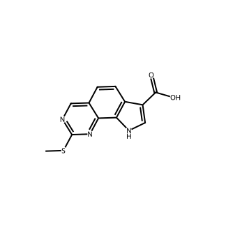 CSc1ncc2ccc3c(C(=O)O)c[nH]c3c2n1